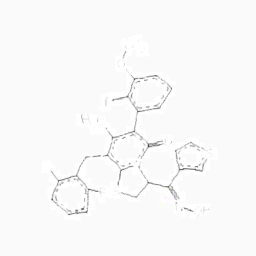 COc1cccc(-c2c(C)c(Cc3c(F)cccc3F)c3n(c2=O)C(/C(=N/O)c2ccsc2)CS3)c1F